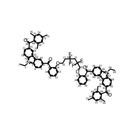 CCn1c2ccc(C(=O)c3ccccc3OCCC(F)(F)CC(F)(F)COc3ccccc3C(=O)c3ccc4c(c3)c3cc(C(=O)c5c(C)cc(C)cc5C)ccc3n4CC)cc2c2cc(C(=O)c3c(C)cc(C)cc3C)ccc21